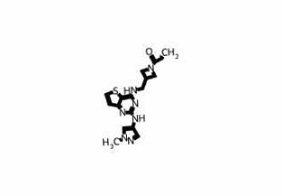 C=CC(=O)N1CC(CNc2nc(Nc3cnn(C)c3)nc3ccsc23)C1